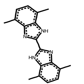 Cc1ccc(C)c2[nH]c(-c3nc4c(C)ccc(C)c4[nH]3)nc12